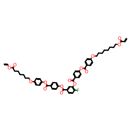 C=COC(=O)CCCCCCOc1ccc(OC(=O)c2ccc(OC(=O)c3ccc(F)c(OC(=O)c4ccc(OC(=O)c5ccc(OCCCCCCCCOC(=O)C=C)cc5)cc4)c3)cc2)cc1